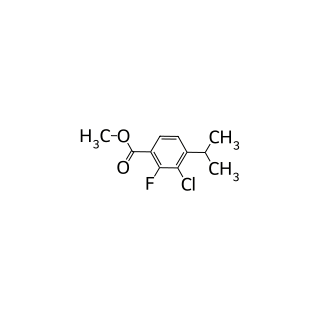 COC(=O)c1ccc(C(C)C)c(Cl)c1F